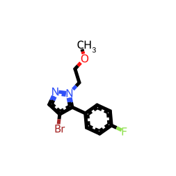 COCCn1ncc(Br)c1-c1ccc(F)cc1